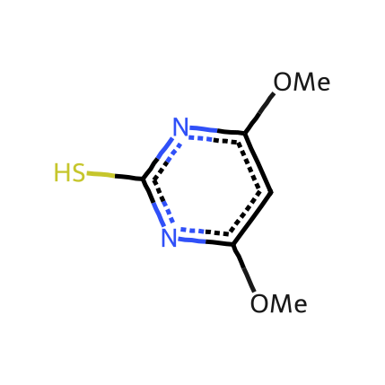 COc1cc(OC)nc(S)n1